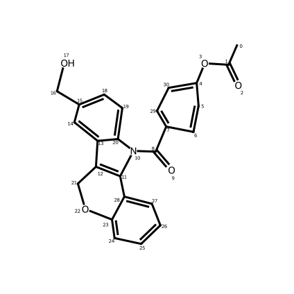 CC(=O)Oc1ccc(C(=O)n2c3c(c4cc(CO)ccc42)COc2ccccc2-3)cc1